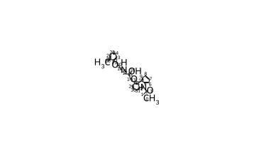 CCC(=O)n1c2ccccc2c2c(OCC(O)CNCCOc3ccccc3C)cccc21